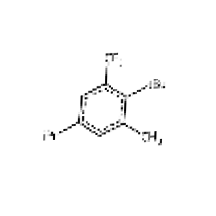 Cc1cc(C(C)C)cc(C(F)(F)F)c1C(C)(C)C